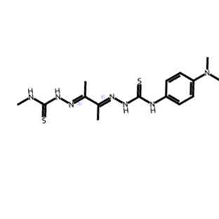 CNC(=S)N/N=C(C)/C(C)=N/NC(=S)Nc1ccc(N(C)C)cc1